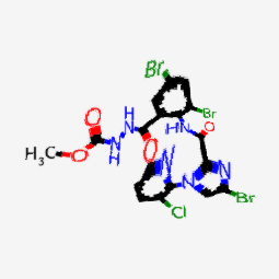 COC(=O)NNC(=O)c1cc(Br)cc(Br)c1NC(=O)c1nc(Br)cn1-c1ncccc1Cl